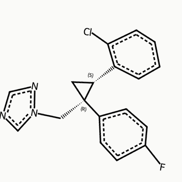 Fc1ccc([C@@]2(Cn3cncn3)C[C@@H]2c2ccccc2Cl)cc1